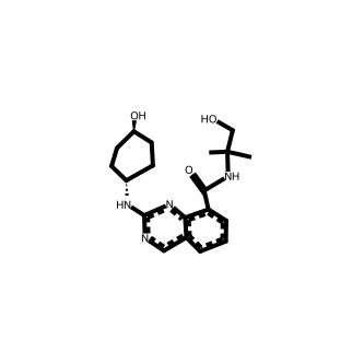 CC(C)(CO)NC(=O)c1cccc2cnc(N[C@H]3CC[C@H](O)CC3)nc12